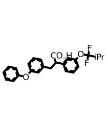 CC(C)C(F)(F)Oc1cccc(C(Cc2cccc(Oc3ccccc3)c2)C(=O)O)c1